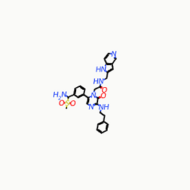 CS(=O)(=O)C(N)c1cccc(-c2cnc(NCCc3ccccc3)c(=O)n2CC(=O)NCc2cc3cnccc3[nH]2)c1